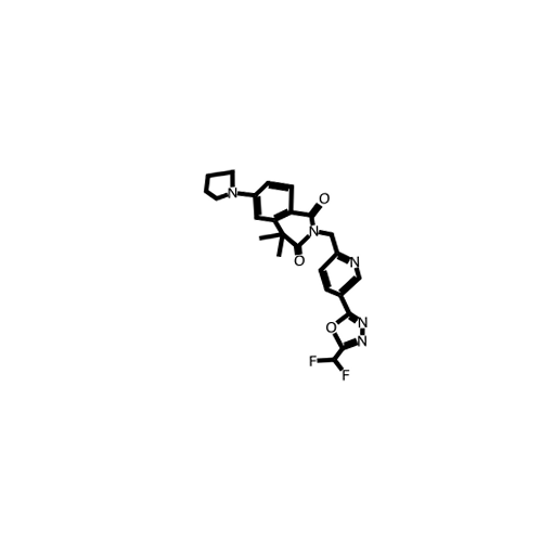 CC1(C)C(=O)N(Cc2ccc(-c3nnc(C(F)F)o3)cn2)C(=O)c2ccc(N3CCCC3)cc21